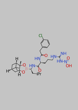 CC(C)C[C@H](NC(=O)[C@H](CCCNC(=N)N[N+](=O)O)NC(=O)Cc1cccc(Cl)c1)B1O[C@@H]2C[C@@H]3C[C@@H](C3(C)C)[C@]2(C)O1